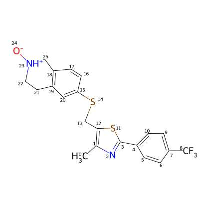 Cc1nc(-c2ccc(C(F)(F)F)cc2)sc1CSc1ccc2c(c1)CC[NH+]([O-])C2